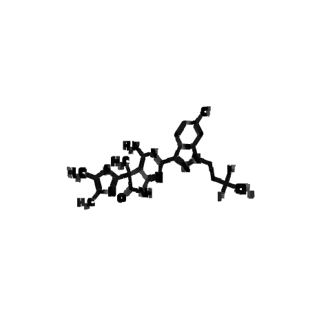 Cc1nc(C2(C)C(=O)Nc3nc(-c4nn(CCC(F)(F)C(F)(F)F)c5cc(Cl)ccc45)nc(N)c32)sc1C